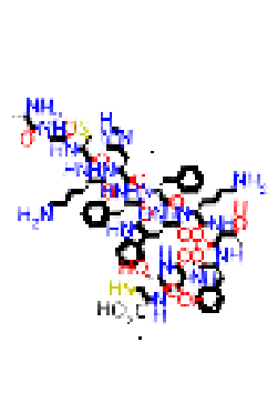 C[C@H](N)C(=O)NCC(=O)N[C@@H](CS)C(=O)N[C@@H](CCCCN)C(=O)N[C@@H](Cc1c[nH]cn1)C(=O)N[C@@H](Cc1ccccc1)C(=O)N[C@@H](Cc1ccccc1)C(=O)N[C@@H](Cc1c[nH]c2ccccc12)C(=O)N[C@@H](CCCCN)C(=O)N[C@H](C(=O)N[C@@H](Cc1ccccc1)C(=O)N[C@H](C(=O)N[C@@H](CO)C(=O)N[C@@H](CS)C(=O)O)[C@@H](C)O)[C@@H](C)O